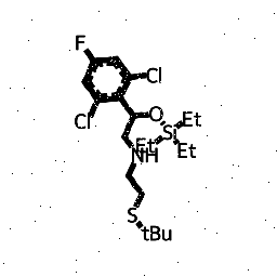 CC[Si](CC)(CC)OC(CNCCSC(C)(C)C)c1c(Cl)cc(F)cc1Cl